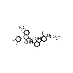 Cc1ccc(N2C(=O)C(=NNc3cccc(-c4ccc(OC(=O)O)c(F)c4)c3O)c3ccc(C(F)(F)F)cc32)cc1C